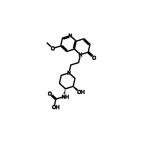 COc1cnc2ccc(=O)n(CCN3CC[C@@H](NC(=O)O)[C@H](O)C3)c2c1